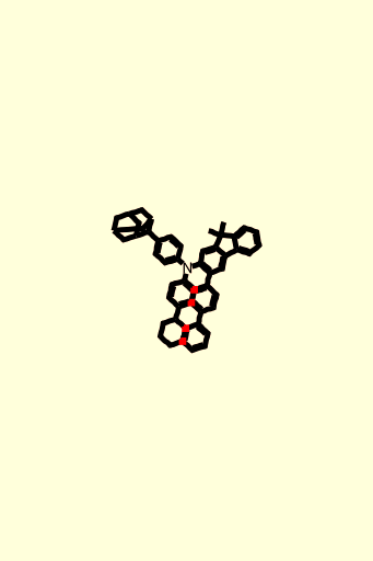 CC1(C)c2ccccc2-c2cc(-c3ccc(-c4ccccc4)cc3)c(N(c3ccc(C4CCCCC4)cc3)c3ccc(C4C5CC6CC(C5)CC4C6)cc3)cc21